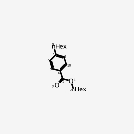 CCCCCCOC(=O)c1ccc(CCCCCC)cc1